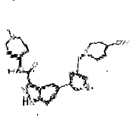 CN1CCC(NC(=O)c2n[nH]c3ccc(-c4cncc(CN5CCC(O)CC5)c4)cc23)CC1